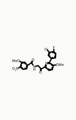 COc1cc(C(=O)NCC(=O)c2ccc(OC)c(-c3ccc(F)c(Cl)c3)n2)ccc1[N+](=O)[O-]